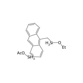 CC(=O)O[SiH3].CCO[SiH2]Cc1c2ccccc2cc2ccccc12